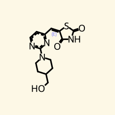 O=C1NC(=O)/C(=C\c2ccnc(N3CCC(CO)CC3)n2)S1